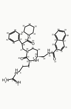 N=C(N)NCCC[C@@H]1N[C@H](CNC(=O)c2ccc3ccccc3c2)CCN(CC(C(=O)N2CCCCC2)c2ccccc2)C1=O